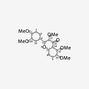 COc1ccc(-c2oc3ccc(OC)c(OC)c3c(=O)c2OC)cc1OC